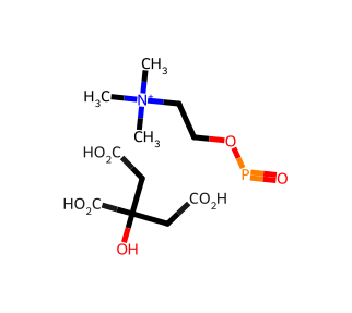 C[N+](C)(C)CCOP=O.O=C(O)CC(O)(CC(=O)O)C(=O)O